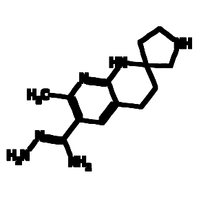 Cc1nc2c(cc1/C(N)=N/N)CCC1(CCNC1)N2